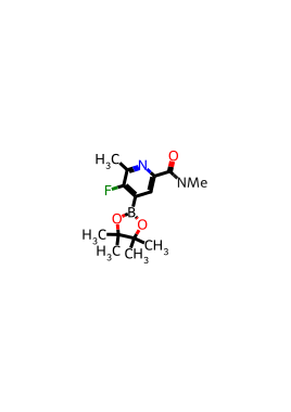 CNC(=O)c1cc(B2OC(C)(C)C(C)(C)O2)c(F)c(C)n1